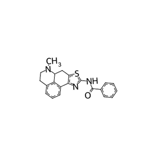 CN1CCc2cccc3c2C1Cc1sc(NC(=O)c2ccccc2)nc1-3